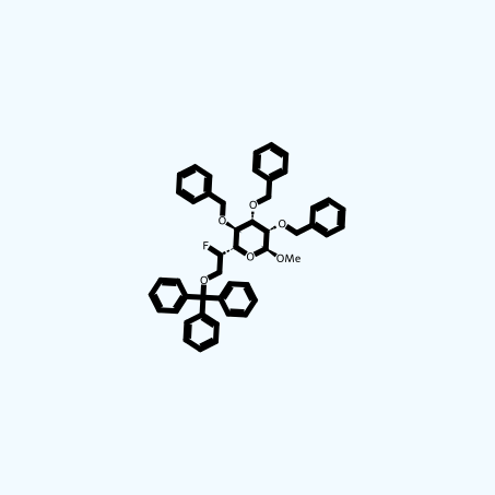 CO[C@H]1O[C@H](C(F)COC(c2ccccc2)(c2ccccc2)c2ccccc2)[C@@H](OCc2ccccc2)[C@H](OCc2ccccc2)[C@@H]1OCc1ccccc1